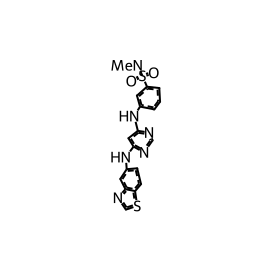 CNS(=O)(=O)c1cccc(Nc2cc(Nc3ccc4scnc4c3)ncn2)c1